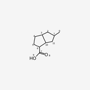 CC1CC2CCC(C(=O)O)C2C1